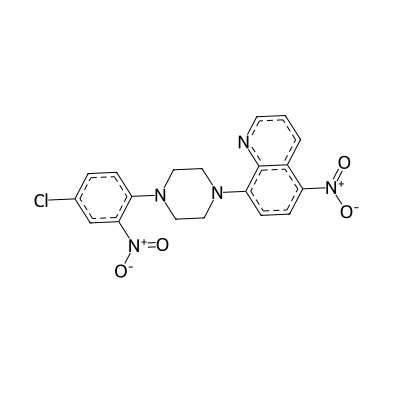 O=[N+]([O-])c1cc(Cl)ccc1N1CCN(c2ccc([N+](=O)[O-])c3cccnc23)CC1